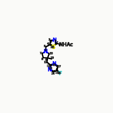 CC(=O)Nc1ncc(CN2CCC(C)(Cc3ncc(F)cn3)C2)s1